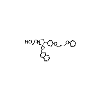 O=C(O)N1CCC(c2ccc(OC/C=C/COc3ccccc3)cc2)C(OCc2ccc3ccccc3c2)C1